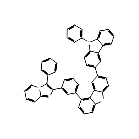 c1ccc(-c2c(-c3cccc(-c4cccc5oc6ccc(-c7ccc8c(c7)c7ccccc7n8-c7ccccc7)cc6c45)c3)nc3ccccn23)cc1